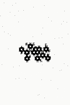 Cc1ccccc1-c1cc(-c2ccccc2C)cc(N(c2cc(F)cc(F)c2)c2ccc3ccc4c(N(c5cc(F)cc(F)c5)c5cc(-c6ccccc6C)cc(-c6ccccc6C)c5)ccc5ccc2c3c54)c1